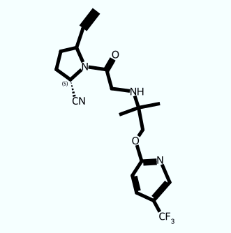 C#CC1CC[C@@H](C#N)N1C(=O)CNC(C)(C)COc1ccc(C(F)(F)F)cn1